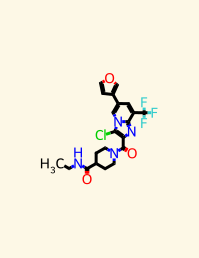 CCNC(=O)C1CCN(C(=O)c2nc3c(C(F)(F)F)cc(-c4ccoc4)cn3c2Cl)CC1